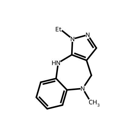 CCn1ncc2c1Nc1ccccc1N(C)C2